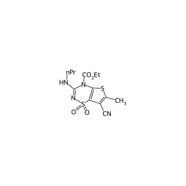 CCCNC1=NS(=O)(=O)c2c(sc(C)c2C#N)N1C(=O)OCC